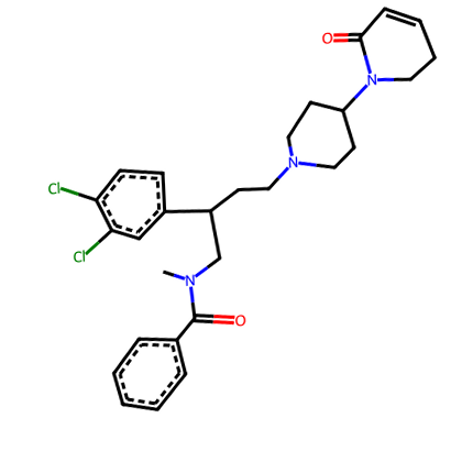 CN(CC(CCN1CCC(N2CCC=CC2=O)CC1)c1ccc(Cl)c(Cl)c1)C(=O)c1ccccc1